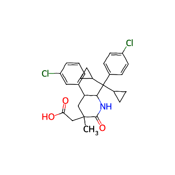 CC1(CC(=O)O)CC(c2cccc(Cl)c2)C(C(c2ccc(Cl)cc2)(C2CC2)C2CC2)NC1=O